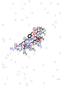 CC[C@H](C)[C@@H]([C@@H](CC(N)=O)OC)N(C)C(=O)[C@@H](NC(=O)[C@H](C(C)C)N(C)C(=O)OCc1ccc(NC(=O)[C@H](CCCNC(N)=O)NC(=O)[C@@H](NNC(C)=O)C(C)C)cc1)C(C)C